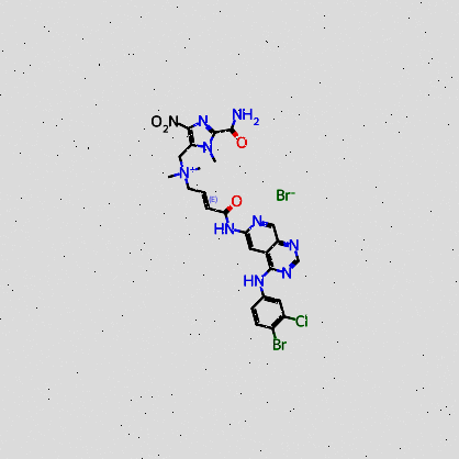 Cn1c(C(N)=O)nc([N+](=O)[O-])c1C[N+](C)(C)C/C=C/C(=O)Nc1cc2c(Nc3ccc(Br)c(Cl)c3)ncnc2cn1.[Br-]